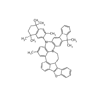 Cc1cc2c3c(c1)N(c1cc4c(cc1C)C(C)(C)CCC4(C)C)c1cc4c(cc1B3CCC1c3c-2cccc3-c2oc3ccccc3c21)C(C)(C)c1ccccc1-4